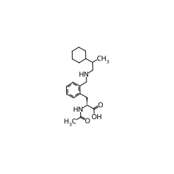 CC(=O)N[C@@H](Cc1ccccc1CNCC(C)C1CCCCC1)C(=O)O